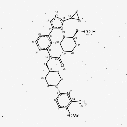 COc1ccc([C@H]2CC[C@H](CN(c3cc(-c4coc(C5CC5)n4)ccn3)C(=O)[C@H]3CC[C@H](CC(=O)O)CC3)CC2)nc1C